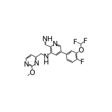 COc1nccc(CNc2cc(-c3ccc(F)c(OC(F)F)c3)cnc2C=N)n1